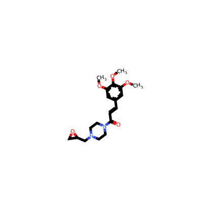 COc1cc(C=CC(=O)N2CCN(CC3CO3)CC2)cc(OC)c1OC